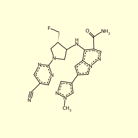 Cn1cc(-c2cc3c(NC4CN(c5ncc(C#N)cn5)C[C@@H]4CF)c(C(N)=O)cnn3c2)cn1